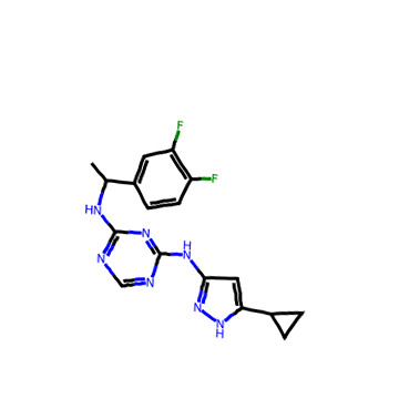 CC(Nc1ncnc(Nc2cc(C3CC3)[nH]n2)n1)c1ccc(F)c(F)c1